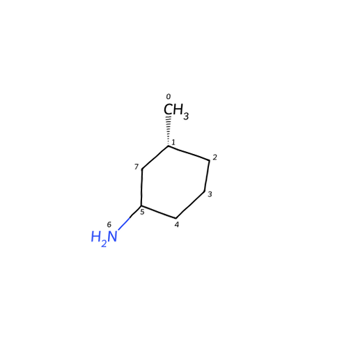 C[C@@H]1CCCC(N)C1